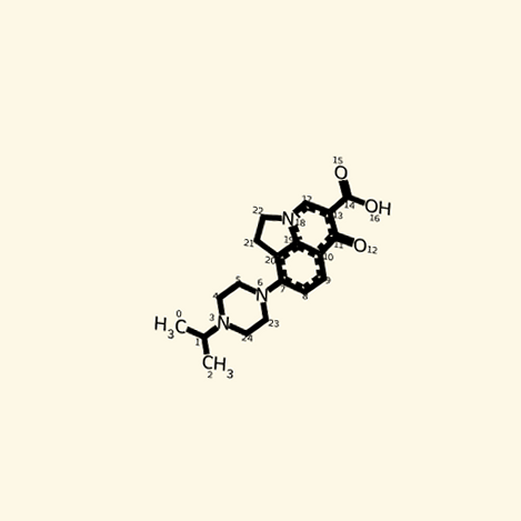 CC(C)N1CCN(c2ccc3c(=O)c(C(=O)O)cn4c3c2CC4)CC1